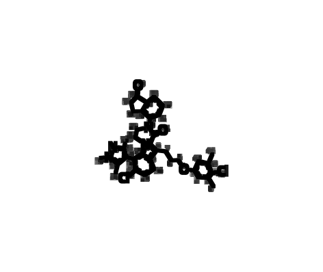 Cc1cc(OCCCc2c3n(c4c(-c5c(C)nn(C)c5C)c(Cl)ccc24)[C@H](C)CN(c2cccc4c2CCC4=O)C3=O)cc(C)c1Cl